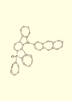 O=P1(c2ccccc2)c2ccccc2-c2c1ccc1c3ccccc3n(-c3ccc4cc5ccccc5cc4c3)c21